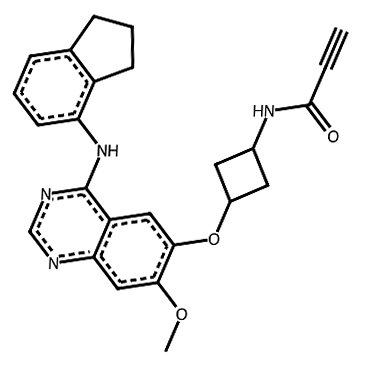 C#CC(=O)NC1CC(Oc2cc3c(Nc4cccc5c4CCC5)ncnc3cc2OC)C1